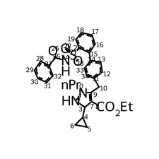 CCCN1NC(C2CC2)C(C(=O)OCC)=C1Cc1ccc(-c2ccccc2S(=O)(=O)NC(=O)c2ccccc2)cc1